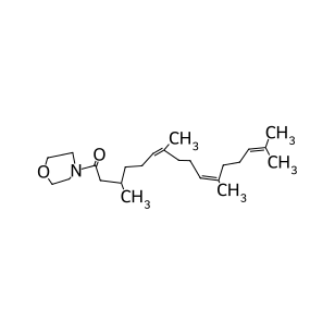 CC(C)=CCCC(C)=CCCC(C)=CCCC(C)CC(=O)N1CCOCC1